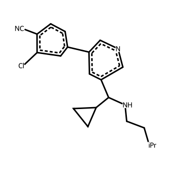 CC(C)CCNC(c1cncc(-c2ccc(C#N)c(Cl)c2)c1)C1CC1